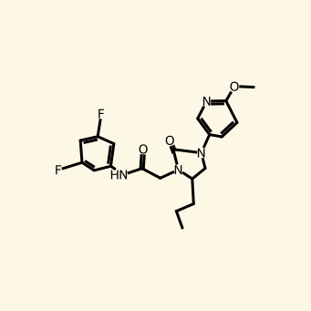 CCCC1CN(c2ccc(OC)nc2)C(=O)N1CC(=O)Nc1cc(F)cc(F)c1